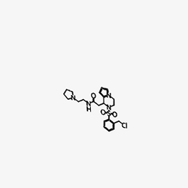 O=C(CC1c2cccn2CCN1S(=O)(=O)c1ccccc1CCl)NCCN1CCCC1